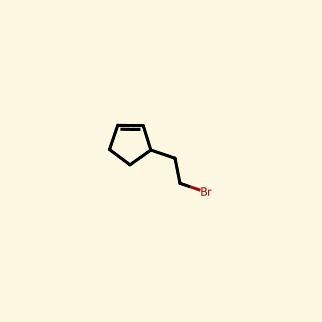 BrCCC1C=CCC1